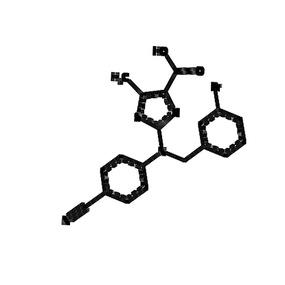 Cc1sc(N(Cc2cccc(Br)c2)c2ccc(C#N)cc2)nc1C(=O)O